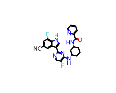 N#Cc1cc(F)c2[nH]cc(-c3ncc(F)c(N[C@H]4CCC[C@@H](NC(=O)c5ccccn5)C4)n3)c2c1